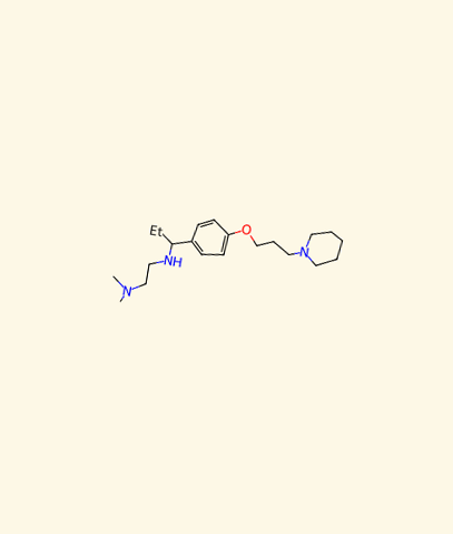 CCC(NCCN(C)C)c1ccc(OCCCN2CCCCC2)cc1